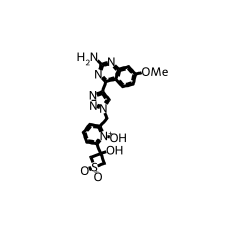 COc1ccc2c(-c3cn(Cc4cccc(C5(O)CS(=O)(=O)C5)[n+]4O)nn3)nc(N)nc2c1